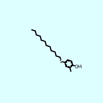 CCCCCCCCCCCCSc1ccc(O)c(C)c1